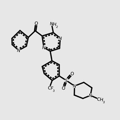 CN1CCN(S(=O)(=O)c2cc(-c3cnc(N)c(C(=O)c4cccnc4)n3)ccc2C(F)(F)F)CC1